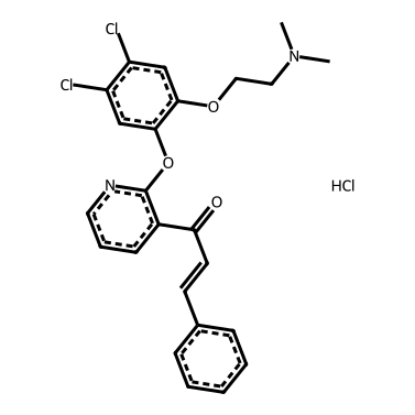 CN(C)CCOc1cc(Cl)c(Cl)cc1Oc1ncccc1C(=O)/C=C/c1ccccc1.Cl